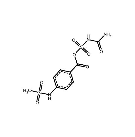 CS(=O)(=O)Nc1ccc(C(=O)OS(=O)(=O)NC(N)=O)cc1